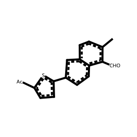 CC(=O)c1ccc(-c2ccc3c(C=O)c(C)ccc3c2)s1